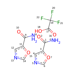 NC(=O)c1cnco1.NC(=O)c1cnco1.O=C(O)C(F)(F)F